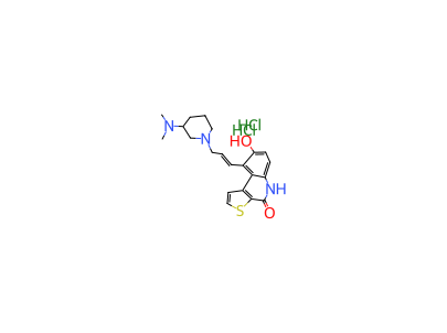 CN(C)C1CCCN(CC=Cc2c(O)ccc3[nH]c(=O)c4sccc4c23)C1.Cl.Cl